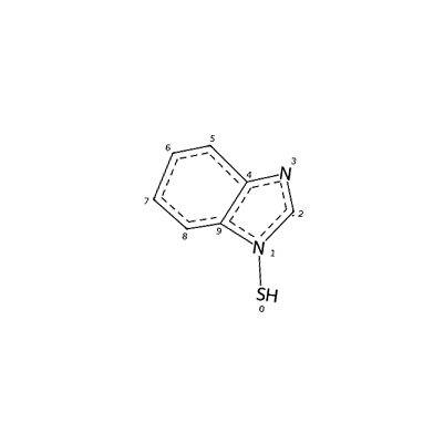 Sn1[c]nc2ccccc21